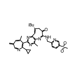 C=C1C=NC(C2CC2)=C(c2nc(C)c3c(n2)/C=C(\[C@@H](C)CC)CC(=O)/C(NCc2ccc(S(C)(=O)=O)cn2)=N\3)C(C)=C1